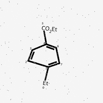 C[CH]c1ccc(C(=O)OCC)cc1